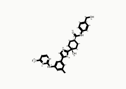 Cc1cc(Nc2nccc(C(F)(F)F)n2)cc(-c2cnc([C@]3(O)CC[C@@H](C(=O)Nc4ccc(CO)cc4)CC3)s2)c1